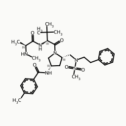 CN[C@@H](C)C(=O)N[C@H](C(=O)N1C[C@@H](NC(=O)c2ccc(C)cc2)C[C@H]1CN(CCc1ccccc1)S(C)(=O)=O)C(C)(C)C